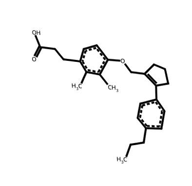 CCCc1ccc(C2=C(COc3ccc(CCC(=O)O)c(C)c3C)CCC2)cc1